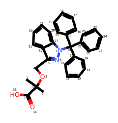 CC(C)(OCc1nn(C(c2ccccc2)(c2ccccc2)c2ccccc2)c2ccccc12)C(=O)O